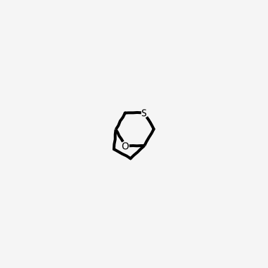 C1CC2CSCC1O2